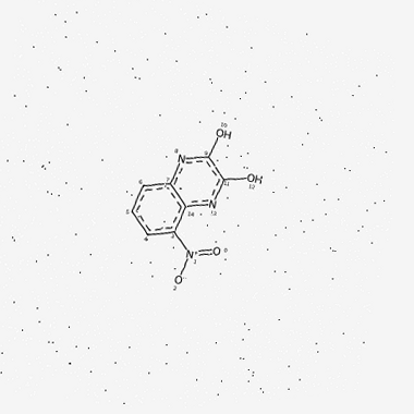 O=[N+]([O-])c1cccc2nc(O)c(O)nc12